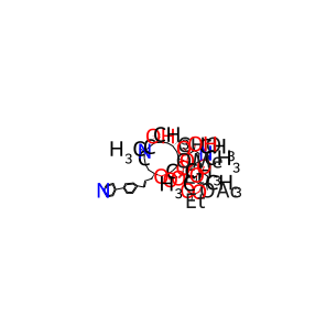 CCC(=O)O[C@@H]1CC(=O)O[C@@H](C/C=C/c2ccc(-c3ccncc3)cc2)CCCN(C)C[C@H](O)[C@H](C)C[C@H](CC=O)[C@H](O[C@@H]2OC(C)[C@@H](O[C@H]3CC(C)(OC(C)=O)[C@@H](OC(=O)CC)C(C)O3)C(N(C)C)C2O)[C@H]1OC